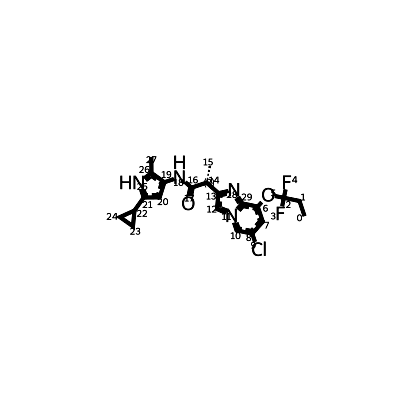 CCC(F)(F)Oc1cc(Cl)cn2cc([C@@H](C)C(=O)Nc3cc(C4CC4)[nH]c3C)nc12